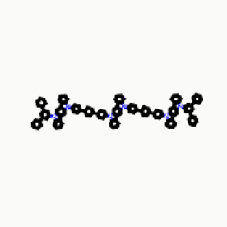 c1ccc(-c2cc(-c3ccccc3)cc(-n3c4ccccc4c4cc5c(cc43)c3ccccc3n5-c3ccc(-c4ccc(-c5ccc(-n6c7ccccc7c7cc8c(cc76)c6ccccc6n8-c6ccc(-c7ccc(-c8ccc(-n9c%10ccccc%10c%10cc%11c(cc%109)c9ccccc9n%11-c9cc(-c%10ccccc%10)cc(-c%10ccccc%10)c9)cc8)cc7)cc6)cc5)cc4)cc3)c2)cc1